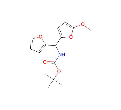 COc1ccc(C(NC(=O)OC(C)(C)C)c2ccco2)o1